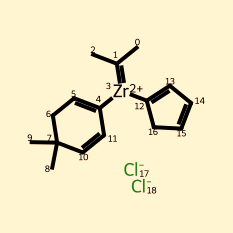 C[C](C)=[Zr+2]([C]1=CCC(C)(C)C=C1)[C]1=CC=CC1.[Cl-].[Cl-]